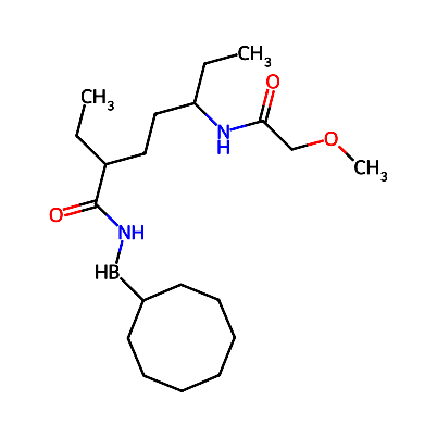 CCC(CCC(CC)C(=O)NBC1CCCCCCC1)NC(=O)COC